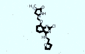 C[C@H]1C[C@H](COc2cccc3c(NCc4ccco4)nc(Cl)nc23)NC1=O